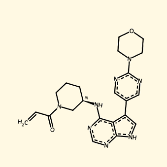 C=CC(=O)N1CCC[C@@H](Nc2ncnc3[nH]cc(-c4cnc(N5CCOCC5)nc4)c23)C1